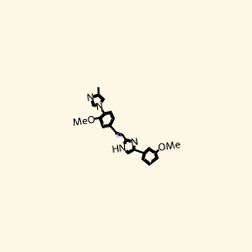 COc1cccc(-c2c[nH]c(/C=C/c3ccc(-n4cnc(C)c4)c(OC)c3)n2)c1